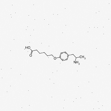 CC(N)Cc1ccc(OCCCCCC(=O)O)cc1